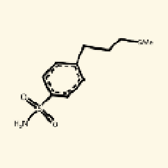 CSCCCc1ccc(S(N)(=O)=O)cc1